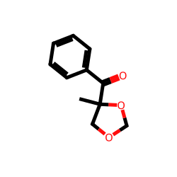 CC1(C(=O)c2ccccc2)COCO1